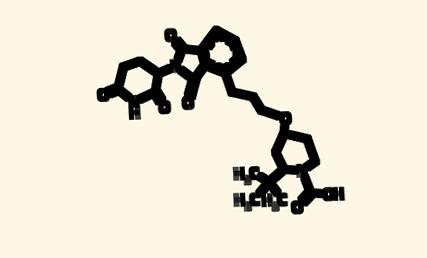 CC(C)(C)C1CC(OCCCc2cccc3c2C(=O)N(C2CCC(=O)NC2=O)C3=O)CCN1C(=O)O